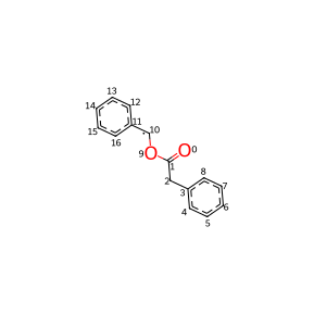 O=C(Cc1ccccc1)O[CH]c1ccccc1